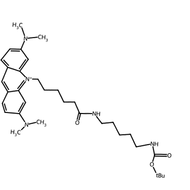 CN(C)c1ccc2cc3ccc(N(C)C)cc3[n+](CCCCCC(=O)NCCCCCNC(=O)OC(C)(C)C)c2c1